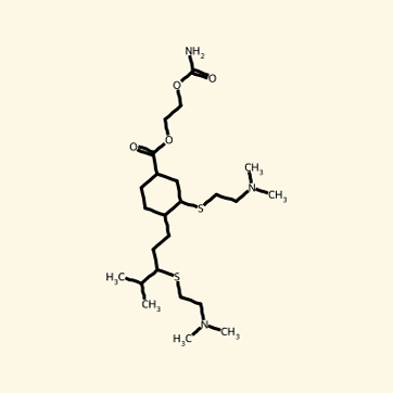 CC(C)C(CCC1CCC(C(=O)OCCOC(N)=O)CC1SCCN(C)C)SCCN(C)C